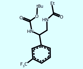 CCC(=O)NCC(NC(=O)OC(C)(C)C)c1cccc(C(F)(F)F)c1